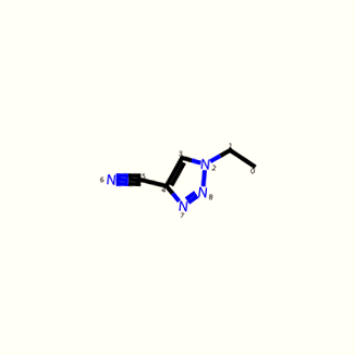 CCn1[c]c(C#N)nn1